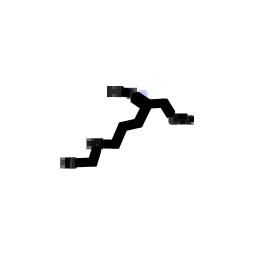 COC/C(CCCNCO)=N/O